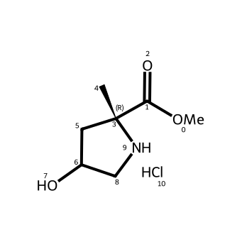 COC(=O)[C@@]1(C)CC(O)CN1.Cl